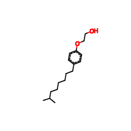 CC(C)CCCCCCc1ccc(OCCO)cc1